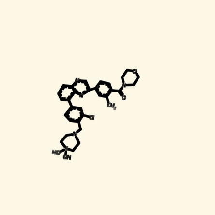 Cc1cc(-c2cnc3cccc(-c4ccc(CN5CCS(O)(O)CC5)c(Cl)c4)c3n2)ccc1C(=O)N1CCOCC1